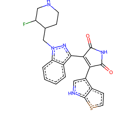 O=C1NC(=O)C(c2nn(CC3CCNCC3F)c3ccccc23)=C1c1c[nH]c2sccc12